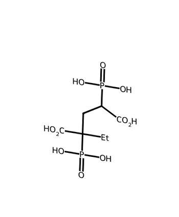 CCC(CC(C(=O)O)P(=O)(O)O)(C(=O)O)P(=O)(O)O